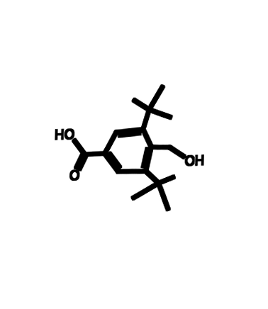 CC(C)(C)c1cc(C(=O)O)cc(C(C)(C)C)c1CO